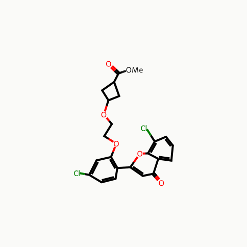 COC(=O)C1CC(OCCOc2cc(Cl)ccc2-c2cc(=O)c3cccc(Cl)c3o2)C1